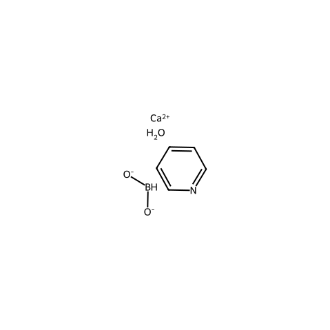 O.[Ca+2].[O-]B[O-].c1ccncc1